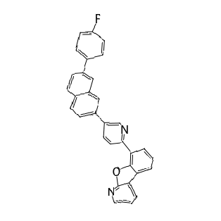 Fc1ccc(-c2ccc3ccc(-c4ccc(-c5cccc6c5oc5ncccc56)nc4)cc3c2)cc1